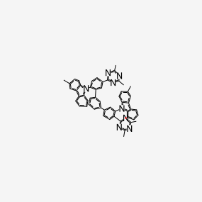 Cc1ccc2c(c1)c1ccccc1n2-c1ccc(-c2nc(C)nc(C)n2)cc1-c1cccc(-c2ccc(-c3nc(C)nc(C)n3)c(-n3c4ccccc4c4cc(C)ccc43)c2)c1